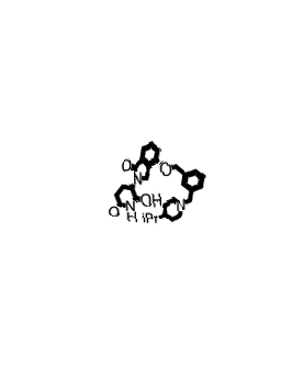 CC(C)C1CCN(Cc2cccc(COc3cccc4c3CN(C3CCC(=O)NC3O)C4=O)c2)CC1